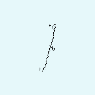 CCCCCCCCCCCCCN(C=O)CCCCCCCCCCCCC